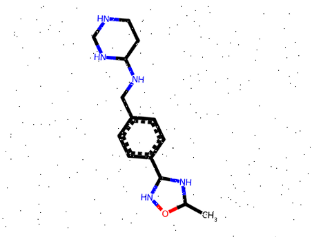 CC1NC(c2ccc(CNC3CCNCN3)cc2)NO1